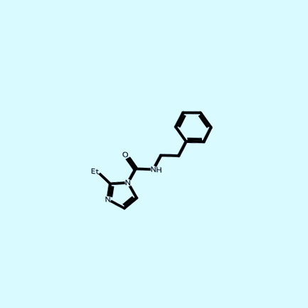 CCc1nccn1C(=O)NCCc1ccccc1